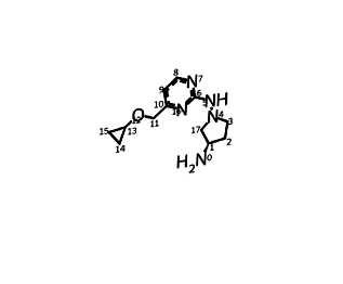 N[C@@H]1CCN(Nc2nccc(COC3CC3)n2)C1